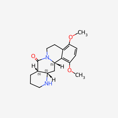 COc1ccc(OC)c2c1CCN1C(=O)[C@H]3CCCN[C@H]3C[C@@H]21